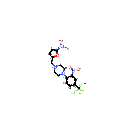 O=[N+]([O-])c1ccc(CN2CCN(c3ccc(C(F)(F)F)cc3[N+](=O)[O-])CC2)o1